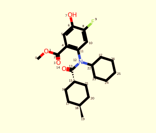 COC(=O)c1cc(O)c(F)cc1N(C(=O)[C@H]1CC[C@H](C)CC1)C1CCCCC1